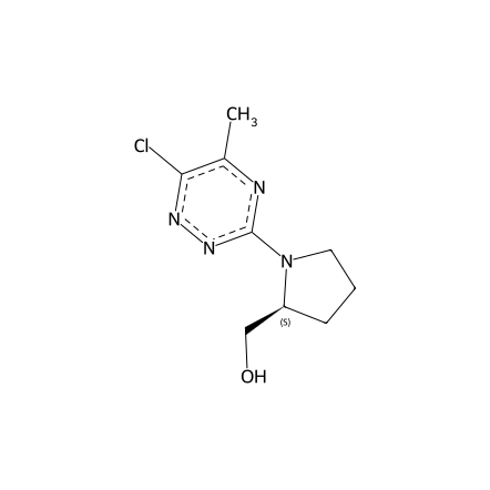 Cc1nc(N2CCC[C@H]2CO)nnc1Cl